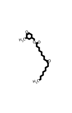 CCCCCCCCC1OC1CCCCCCCC(=O)OCC1CC(C)C2OC2C1